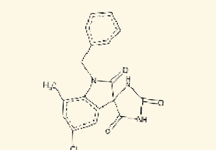 Cc1cc(Cl)cc2c1N(Cc1ccccc1)C(=O)C21NC(=O)NC1=O